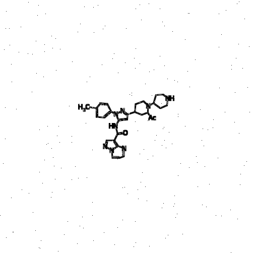 CC(=O)C1CC(c2cc(NC(=O)c3cnn4cccnc34)n(-c3ccc(C)cc3)n2)CCN1C1CCNCC1